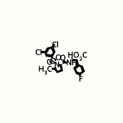 CC1CC[C@@H](C(=O)N[C@@H](Cc2ccc(F)cc2)C(=O)O)N1S(=O)(=O)c1cc(Cl)cc(Cl)c1